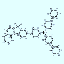 CC1(C)c2cc(-c3ccc(N(c4ccc(-c5ccccc5)cc4)c4ccc(-c5ccccc5)cc4)cn3)ccc2-c2c1ccc1ccccc21